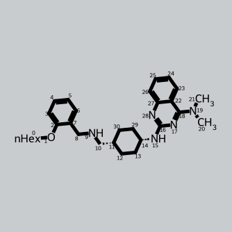 CCCCCCOc1ccccc1CNC[C@H]1CC[C@@H](Nc2nc(N(C)C)c3ccccc3n2)CC1